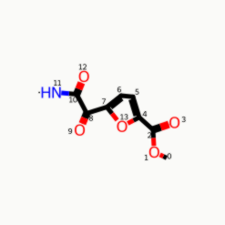 COC(=O)c1ccc(C(=O)C([NH])=O)o1